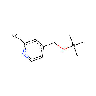 C[Si](C)(C)OCc1ccnc(C#N)c1